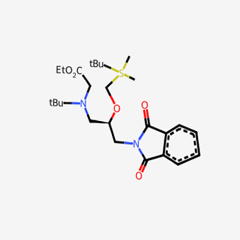 CCOC(=O)CN(C[C@H](CN1C(=O)c2ccccc2C1=O)OCS(C)(C)C(C)(C)C)C(C)(C)C